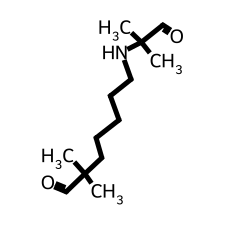 CC(C)(C=O)CCCCCNC(C)(C)C=O